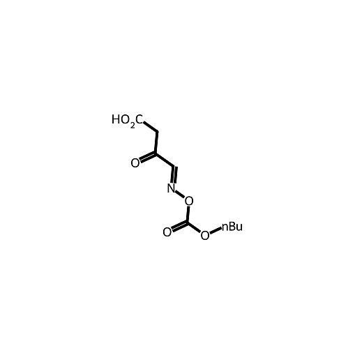 CCCCOC(=O)ON=CC(=O)CC(=O)O